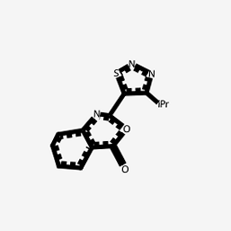 CC(C)c1nnsc1-c1nc2ccccc2c(=O)o1